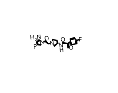 N[C@@H]1C[C@H](F)CN1C(=O)CN1CC[C@H](NC(=O)c2coc3cc(F)ccc23)C1